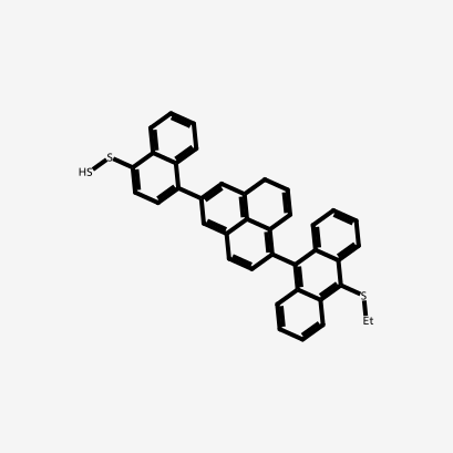 CCSc1c2ccccc2c(-c2ccc3cc(-c4ccc(SS)c5ccccc45)cc4c3c2C=CC4)c2ccccc12